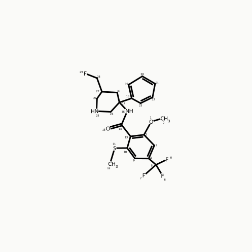 COc1cc(C(F)(F)F)cc(SC)c1C(=O)NC1(c2ccccc2)CNCC(CF)C1